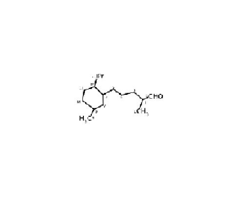 CC(C=O)CCCC1CC(C)CCC1C(C)C